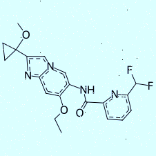 CCOc1cc2nc(C3(OC)CC3)cn2cc1NC(=O)c1cccc(C(F)F)n1